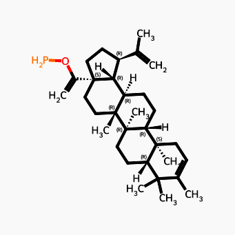 C=C(C)[C@@H]1CC[C@]2(C(=C)OP)CC[C@]3(C)[C@H](CC[C@@H]4[C@@]5(C)CC=C(C)C(C)(C)[C@@H]5CC[C@]43C)[C@@H]12